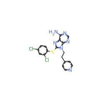 Nc1ncnc2c1nc(Sc1ccc(Cl)cc1Cl)n2CCc1ccncc1